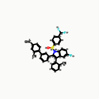 N#Cc1cc(C=O)ccc1-c1cccc(-c2c(-c3ccccc3C#N)c3cc(F)ccc3n2[S+]([O-])c2ccc(C(F)F)cc2)c1